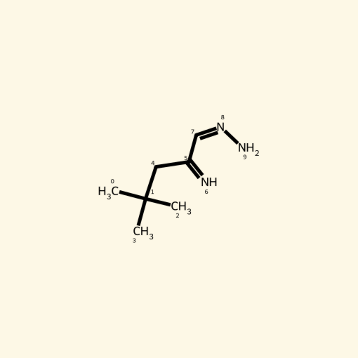 CC(C)(C)CC(=N)/C=N\N